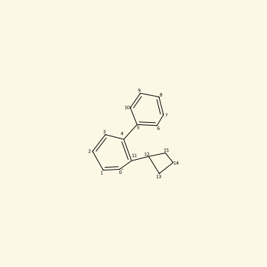 [c]1cccc(-c2ccccc2)c1C1CCC1